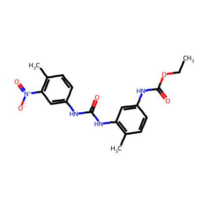 CCOC(=O)Nc1ccc(C)c(NC(=O)Nc2ccc(C)c([N+](=O)[O-])c2)c1